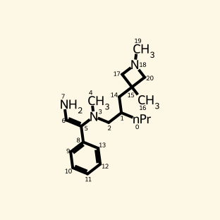 CCCC(CN(C)/C(=C\N)c1ccccc1)CC1(C)CN(C)C1